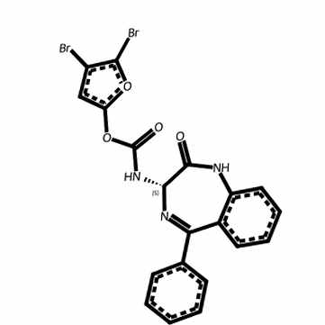 O=C(N[C@H]1N=C(c2ccccc2)c2ccccc2NC1=O)Oc1cc(Br)c(Br)o1